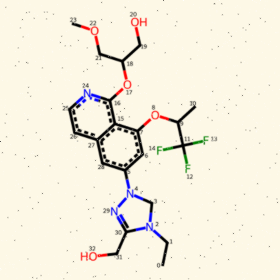 CCN1CN(c2cc(OC(C)C(F)(F)F)c3c(OC(CO)COC)nccc3c2)N=C1CO